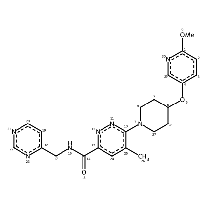 COc1ccc(OC2CCN(c3nnc(C(=O)NCc4ccncn4)cc3C)CC2)cn1